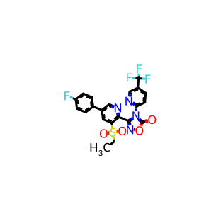 CCS(=O)(=O)c1cc(-c2ccc(F)cc2)cnc1-c1noc(=O)n1-c1ccc(C(F)(F)F)cn1